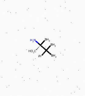 BC(B)(C(C)C)[C@](B)(N)C(=O)O